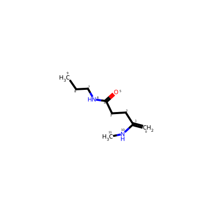 C=C(CCC(=O)NCCC)NC